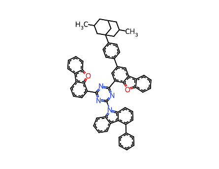 CC1CC2CC(C)CC(c3ccc(-c4cc(-c5nc(-c6cccc7c6oc6ccccc67)nc(-n6c7ccccc7c7c(-c8ccccc8)cccc76)n5)c5oc6ccccc6c5c4)cc3)(C1)C2